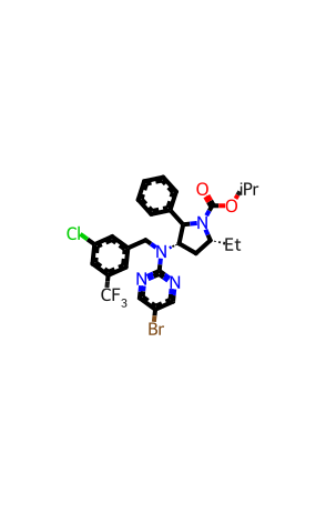 CC[C@@H]1C[C@H](N(Cc2cc(Cl)cc(C(F)(F)F)c2)c2ncc(Br)cn2)C(c2ccccc2)N1C(=O)OC(C)C